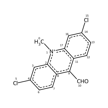 C[n+]1c2cc(Cl)ccc2c(C=O)c2ccc(Cl)cc21